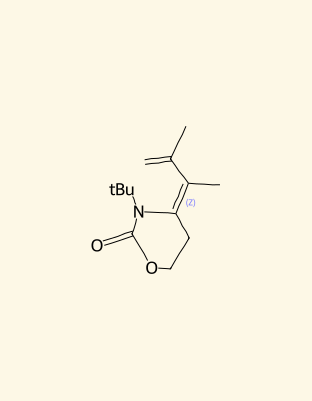 C=C(C)/C(C)=C1/CCOC(=O)N1C(C)(C)C